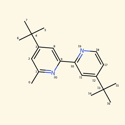 Cc1cc(C(C)(C)C)cc(-c2cc(C(C)(C)C)ccn2)n1